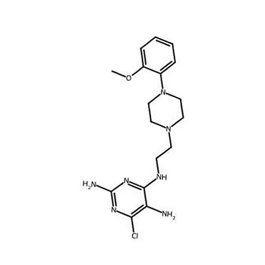 COc1ccccc1N1CCN(CCNc2nc(N)nc(Cl)c2N)CC1